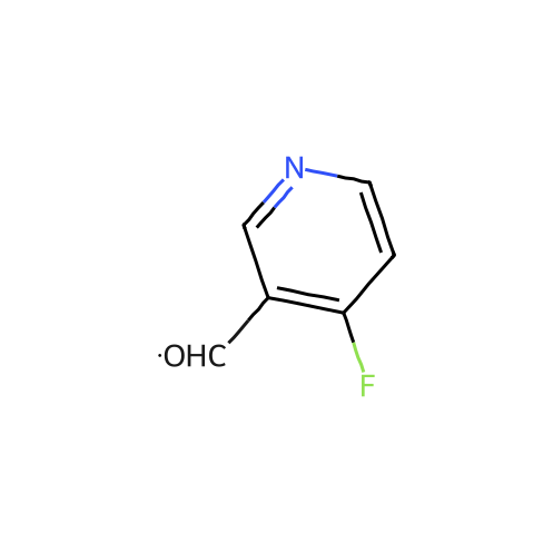 O=[C]c1cnccc1F